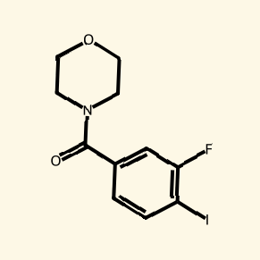 O=C(c1ccc(I)c(F)c1)N1CCOCC1